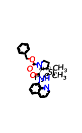 C[Si](C)(C)[C@H]1CCN(C(=O)OCc2ccccc2)[C@H]1C(=O)Nc1cccc2cccnc12